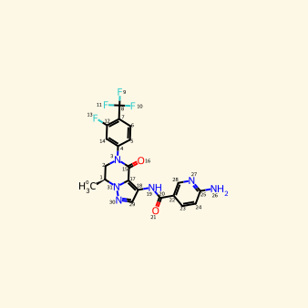 C[C@H]1CN(c2ccc(C(F)(F)F)c(F)c2)C(=O)c2c(NC(=O)c3ccc(N)nc3)cnn21